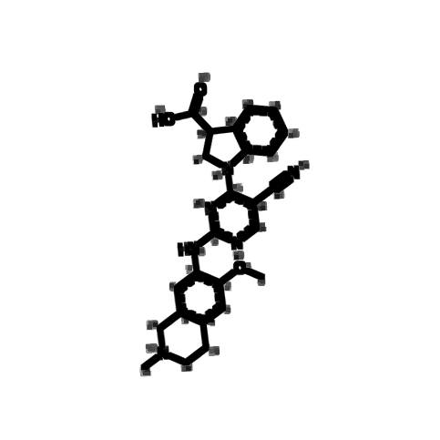 COc1cc2c(cc1Nc1ncc(C#N)c(N3CC(C(=O)O)c4ccccc43)n1)CN(C)CC2